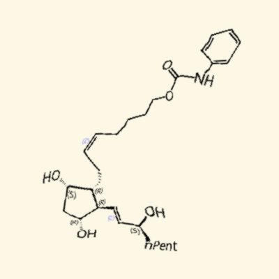 CCCCC[C@H](O)/C=C/[C@@H]1[C@@H](C/C=C\CCCCOC(=O)Nc2ccccc2)[C@@H](O)C[C@H]1O